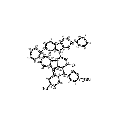 CC(C)(C)c1ccc2c(c1)Oc1cc(-n3c4cc(-c5ccccc5)ccc4c4ccc(-c5ccccc5)cc43)c3c4ccccc4n4c3c1B2c1ccc(C(C)(C)C)cc1-4